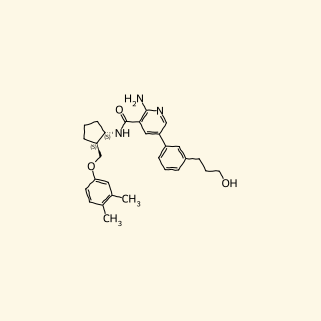 Cc1ccc(OC[C@H]2CCC[C@@H]2NC(=O)c2cc(-c3cccc(CCCO)c3)cnc2N)cc1C